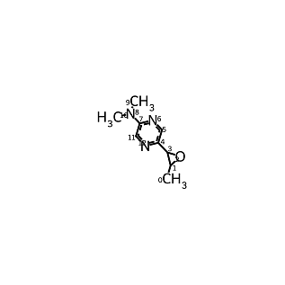 CC1OC1c1cnc(N(C)C)cn1